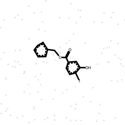 O=C(OCc1ccccc1)c1ccc(I)c(O)c1